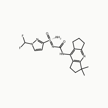 CC1(C)CCc2c1nc1c(c2NC(=O)N=[S@](N)(=O)c2ccn(C(F)F)n2)CCC1